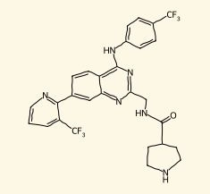 O=C(NCc1nc(Nc2ccc(C(F)(F)F)cc2)c2ccc(-c3ncccc3C(F)(F)F)cc2n1)C1CCNCC1